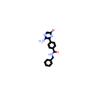 Nc1ncc(Br)nc1-c1ccc(C(=O)NCc2ccccc2)cc1